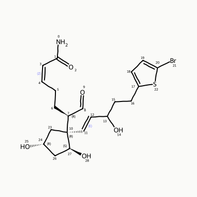 NC(=O)/C=C\CC[C@@H]([C]=O)[C@]1(/C=C/C(O)CCc2ccc(Br)s2)C[C@@H](O)C[C@@H]1O